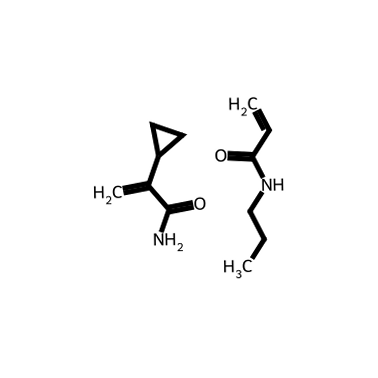 C=C(C(N)=O)C1CC1.C=CC(=O)NCCC